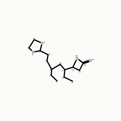 CCC(CCC1OCCO1)CC(CC)C1CC(=O)O1